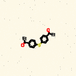 CCC(=O)c1ccc(Sc2ccc(C(=O)CC)cc2)cc1